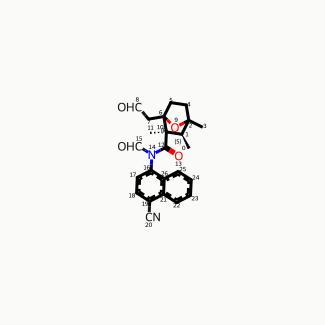 C[C@@H]1C2(C)CCC(CC=O)(O2)[C@]1(C)C(=O)N(C=O)c1ccc(C#N)c2ccccc12